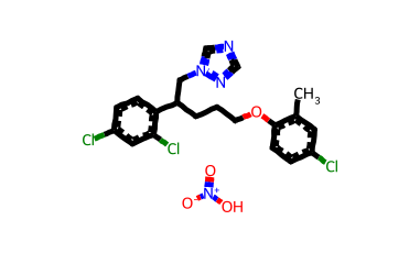 Cc1cc(Cl)ccc1OCCCC(Cn1cncn1)c1ccc(Cl)cc1Cl.O=[N+]([O-])O